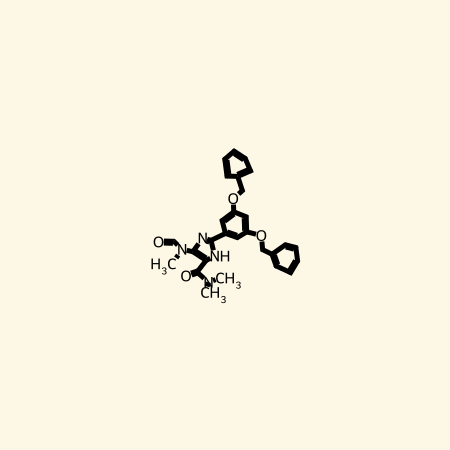 CN(C)C(=O)c1[nH]c(-c2cc(OCc3ccccc3)cc(OCc3ccccc3)c2)nc1N(C)C=O